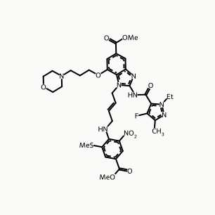 CCn1nc(C)c(F)c1C(=O)Nc1nc2cc(C(=O)OC)cc(OCCCN3CCOCC3)c2n1CC=CCNc1c(SC)cc(C(=O)OC)cc1[N+](=O)[O-]